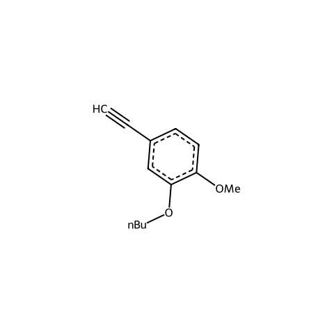 C#Cc1ccc(OC)c(OCCCC)c1